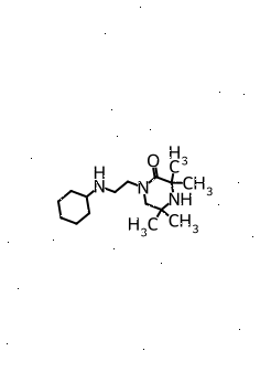 CC1(C)CN(CCNC2CCCCC2)C(=O)C(C)(C)N1